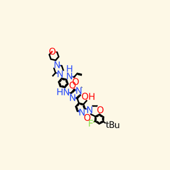 C=CC(=O)Nc1cc(Nc2nc(-c3ccnc(N4CCOc5cc(C(C)(C)C)cc(F)c5C4=O)c3CO)cn(C)c2=O)ccc1N1CCN(C2CCOCC2)CC1C